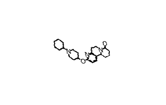 O=C1CCCC2c3ccc(OC4CCN(C5CCCCC5)CC4)nc3CCN12